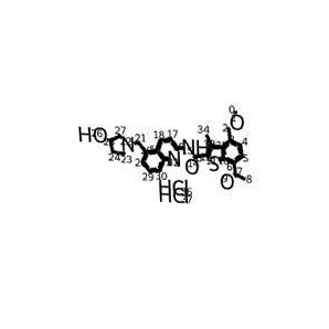 COCc1ccc(C(C)=O)c2sc(C(=O)Nc3ccc4c(CN5CC[C@H](O)C5)cccc4n3)c(C)c12.Cl.Cl